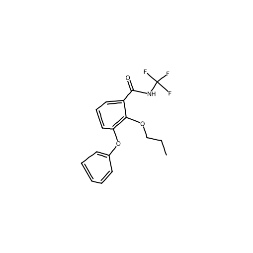 CCCOc1c(Oc2ccccc2)cccc1C(=O)NC(F)(F)F